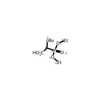 CCCCC(C(=O)O)P(=O)(OCC)OCC